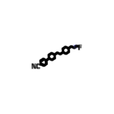 N#Cc1ccc(C2CCC(CCC3CCC(C/C=C/F)CC3)CC2)cc1